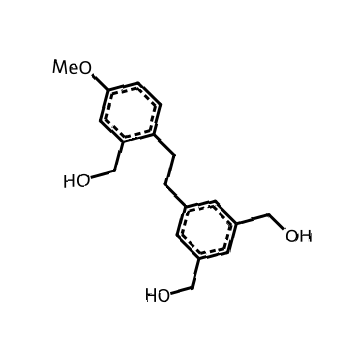 COc1ccc(CCc2cc(CO)cc(CO)c2)c(CO)c1